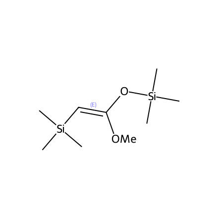 CO/C(=C\[Si](C)(C)C)O[Si](C)(C)C